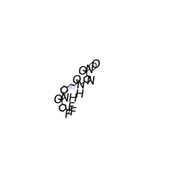 O=C(/C=C/c1cccc(NC(=O)c2cccc(C(F)(F)F)c2)c1)Nc1cncc(C(=O)N2CCOCC2)c1